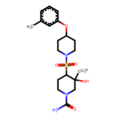 Cc1cccc(OC2CCN(S(=O)(=O)C3CCN(C(N)=O)CC3(O)C(=O)O)CC2)c1